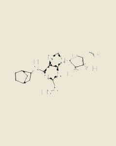 NNc1nc(NC2CC3CCC2C3)c2ncn([C@@H]3O[C@H](CO)[C@H](O)[C@@H]3O)c2n1